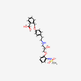 CS(=O)(=O)Nc1ccccc1OC[C@@H](O)CNCCc1ccc(OCc2ccccc2C(=O)O)cc1